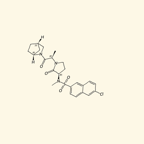 C[C@H](C(=O)N1C[C@H]2CC[C@@H]1C2)N1CC[C@@H](N(C)S(=O)(=O)c2ccc3cc(Cl)ccc3c2)C1=O